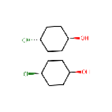 O[C@H]1CC[C@@H](Cl)CC1.O[C@H]1CC[C@H](Cl)CC1